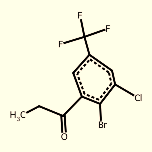 CCC(=O)c1cc(C(F)(F)F)cc(Cl)c1Br